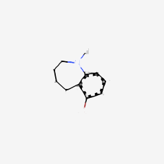 CC(C)N1CCCCc2c(Br)cccc21